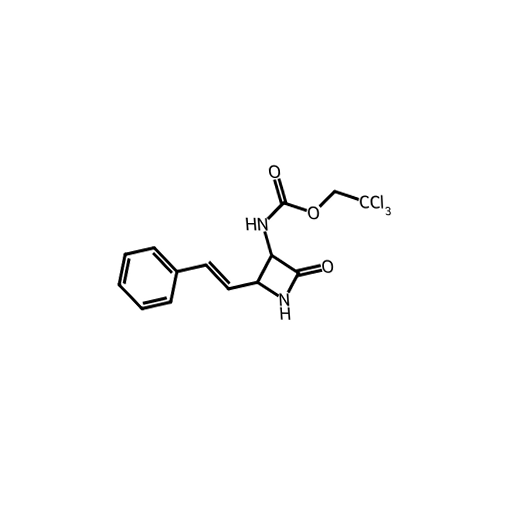 O=C(NC1C(=O)NC1C=Cc1ccccc1)OCC(Cl)(Cl)Cl